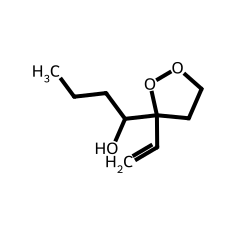 C=CC1(C(O)CCC)CCOO1